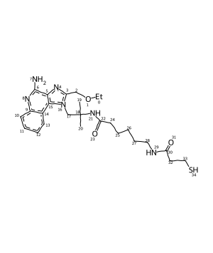 CCOCc1nc2c(N)nc3ccccc3c2n1CC(C)(C)NC(=O)CCCCCNC(=O)CCS